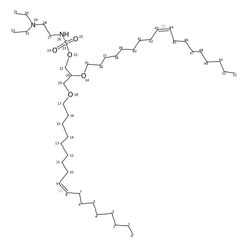 CCCCCCCC/C=C\CCCCCCCCOCC(COS(=O)(=O)NCCN(CC)CC)OCCCCCCCC/C=C\CCCCCCCC